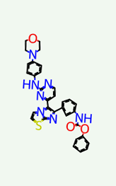 O=C(Nc1cccc(-c2nc3sccn3c2-c2ccnc(Nc3ccc(N4CCOCC4)cc3)n2)c1)Oc1ccccc1